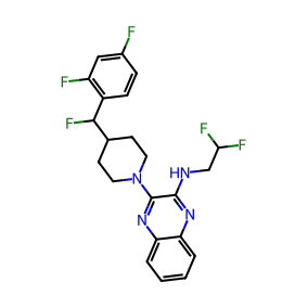 Fc1ccc(C(F)C2CCN(c3nc4ccccc4nc3NCC(F)F)CC2)c(F)c1